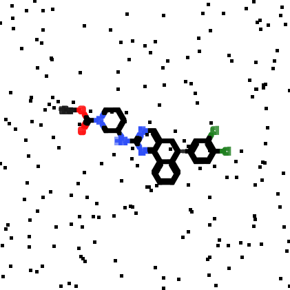 CC(C)(C)OC(=O)N1CCC[C@@H](Nc2ncc3c(n2)-c2ccccc2[C@@H](c2ccc(Cl)c(Cl)c2)C3)C1